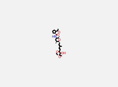 CC(=O)C1CCC[C@H]1C(=O)N[C@@H]1C[C@H](C)[C@H](C/C=C(C)/C=C/C2OCC[C@@]3(CO3)[C@@H]2O)O[C@@H]1C